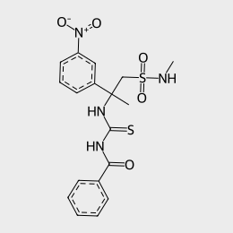 CNS(=O)(=O)CC(C)(NC(=S)NC(=O)c1ccccc1)c1cccc([N+](=O)[O-])c1